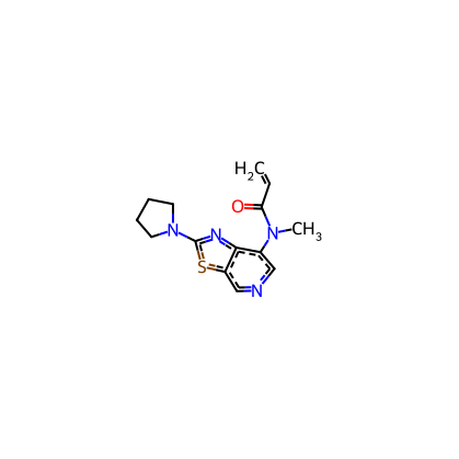 C=CC(=O)N(C)c1cncc2sc(N3CCCC3)nc12